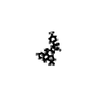 CCc1ccc(S(N)(=O)=NC(=O)Nc2c3c(nc4c2CCC4(C)C)CCC3)cc1